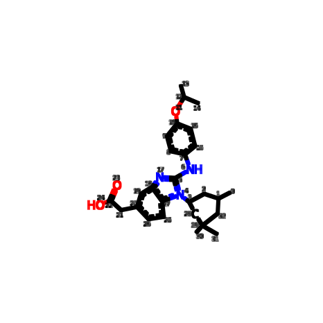 CC1CC(n2c(Nc3ccc(OC(C)C)cc3)nc3cc(CC(=O)O)ccc32)CC(C)(C)C1